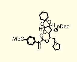 CCCCCCCCCCO[C@@H]1[C@H]2OC3(CCCCC3)O[C@H]2O[C@@H]1[C@@H](CN1CCCC1)OC(=O)Nc1ccc(OC)cc1